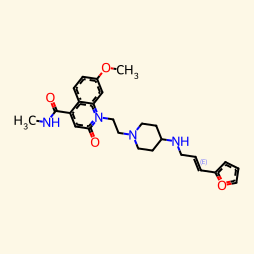 CNC(=O)c1cc(=O)n(CCN2CCC(NC/C=C/c3ccco3)CC2)c2cc(OC)ccc12